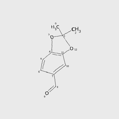 CC1(C)Oc2ccc(C=O)cc2O1